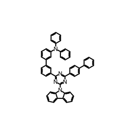 c1ccc(-c2ccc(-c3nc(-c4cccc(-c5cccc(N(c6ccccc6)c6ccccc6)c5)c4)nc(-n4c5ccccc5c5ccccc54)n3)cc2)cc1